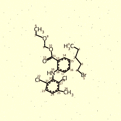 CCCCCBr.CCOCOC(=O)c1ccccc1Nc1c(Cl)ccc(C)c1Cl